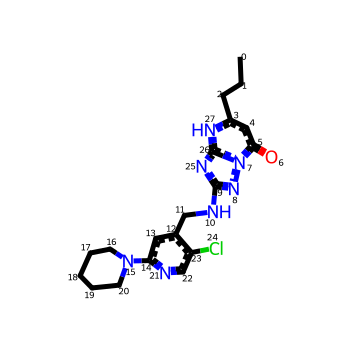 CCCc1cc(=O)n2nc(NCc3cc(N4CCCCC4)ncc3Cl)nc2[nH]1